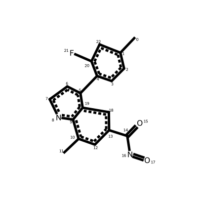 Cc1ccc(-c2ccnc3c(C)cc(C(=O)N=O)cc23)c(F)c1